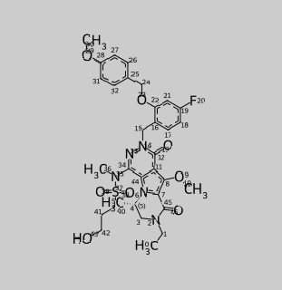 CCN1C[C@H](C)n2c(c(OC)c3c(=O)n(Cc4ccc(F)cc4OCc4ccc(OC)cc4)nc(N(C)S(=O)(=O)CCCO)c32)C1=O